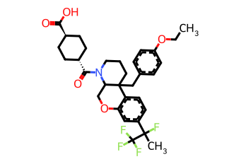 CCOc1ccc(CC23CCCN(C(=O)[C@H]4CC[C@H](C(=O)O)CC4)C2COc2cc(C(C)(F)C(F)(F)F)ccc23)cc1